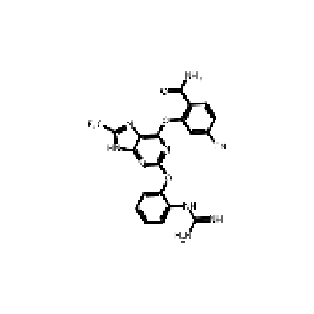 N#Cc1ccc(C(N)=O)c(Oc2nc(Oc3ccccc3NC(=N)N)nc3[nH]c(C(F)(F)F)nc23)c1